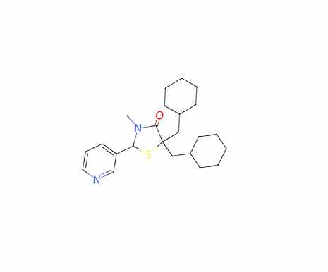 CN1C(=O)C(CC2CCCCC2)(CC2CCCCC2)SC1c1cccnc1